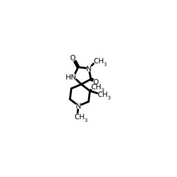 CN1CCC2(NC(=O)N(C)C2=O)C(C)(C)C1